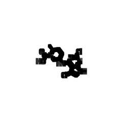 C[C@H]1CC[C@@H](Nc2nc(Cl)nc3[nH]cc(Cl)c23)CN1C(=O)O